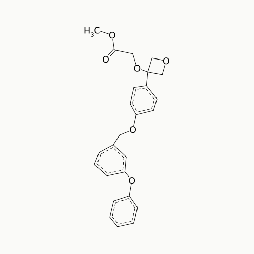 COC(=O)COC1(c2ccc(OCc3cccc(Oc4ccccc4)c3)cc2)COC1